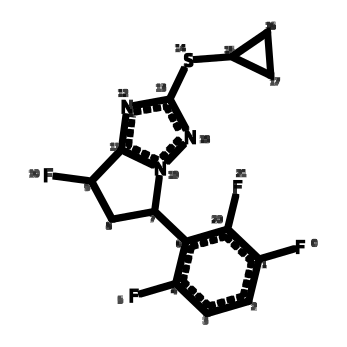 Fc1ccc(F)c(C2CC(F)c3nc(SC4CC4)nn32)c1F